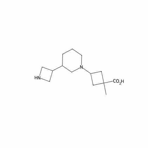 CC1(C(=O)O)CC(N2CCCC(C3CNC3)C2)C1